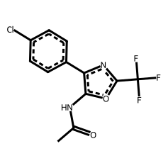 CC(=O)Nc1oc(C(F)(F)F)nc1-c1ccc(Cl)cc1